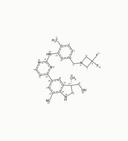 Cc1ccc(CN2CC(F)(F)C2)cc1Nc1nccc(-c2cc(C#N)c3c(c2)[C@@](C)(CO)CN3)n1